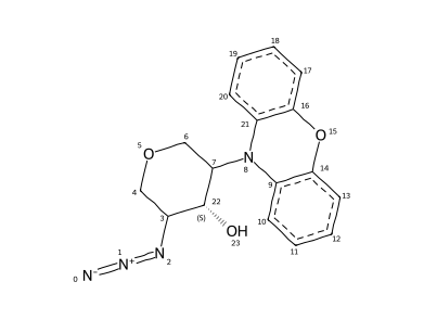 [N-]=[N+]=NC1COCC(N2c3ccccc3Oc3ccccc32)[C@@H]1O